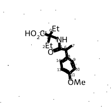 CCC(CC)(NC(=O)C(C)c1ccc(OC)cc1)C(=O)O